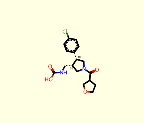 O=C(O)NC[C@H]1CN(C(=O)C2CCOC2)C[C@H]1c1ccc(Cl)cc1